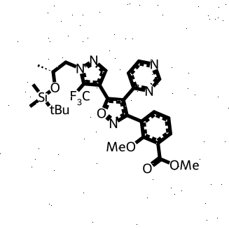 COC(=O)c1cccc(-c2noc(-c3cnn(C[C@@H](C)O[Si](C)(C)C(C)(C)C)c3C(F)(F)F)c2-c2ccncn2)c1OC